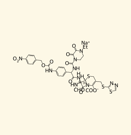 CCN1CCN(C(=O)NC(C(=O)N[C@]2(NC=O)C(=O)N3C(C(=O)[O-])=C(CSc4nncs4)CS[C@H]32)c2ccc(NC(=O)OCc3ccc([N+](=O)[O-])cc3)cc2)C(=O)C1=O.[Na+]